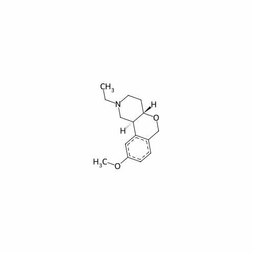 CCN1CC[C@@H]2OCc3ccc(OC)cc3[C@H]2C1